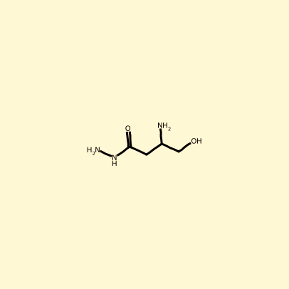 NNC(=O)CC(N)CO